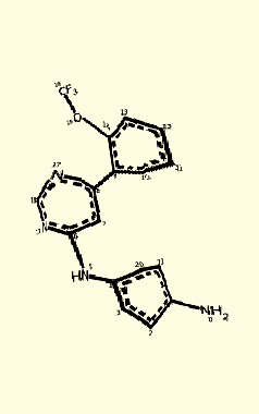 Nc1ccc(Nc2cc(-c3ccccc3OC(F)(F)F)ncn2)cc1